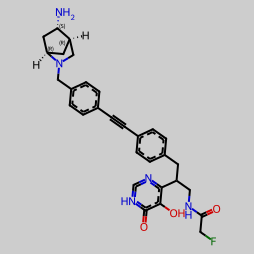 N[C@H]1C[C@H]2C[C@@H]1CN2Cc1ccc(C#Cc2ccc(CC(CNC(=O)CF)c3nc[nH]c(=O)c3O)cc2)cc1